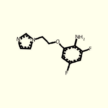 Nc1c(F)cc(F)cc1OCCn1ccnc1